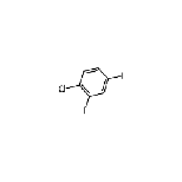 Clc1ccc(I)cc1I